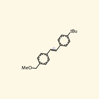 COCc1ccc(/C=C/c2ccc(C(C)(C)C)cc2)cc1